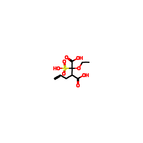 C=CCC(C(=O)O)C(OCC)(C(=O)O)S(=O)(=O)O